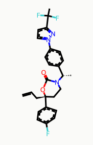 C=CC[C@]1(c2ccc(F)cc2)CCN([C@@H](C)c2ccc(-n3ccc(C(C)(F)F)n3)cc2)C(=O)O1